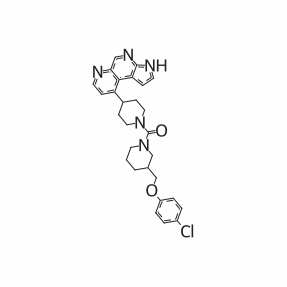 O=C(N1CCC(c2ccnc3cnc4[nH]ccc4c23)CC1)N1CCCC(COc2ccc(Cl)cc2)C1